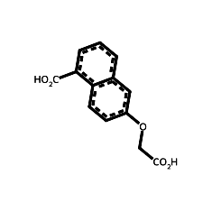 O=C(O)COc1ccc2c(C(=O)O)cccc2c1